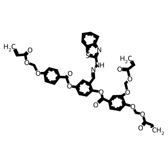 C=CC(=O)OCOc1ccc(C(=O)Oc2ccc(OC(=O)c3ccc(OCOC(=O)C=C)c(OCOC(=O)C=C)c3)c(/C=N/Nc3nc4ccccc4s3)c2)cc1